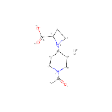 CC(=O)N1CCC(N2CCC2C(=O)[O-])CC1.[Li+]